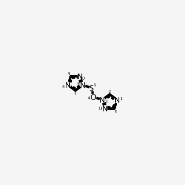 c1ncn(OSn2cncn2)n1